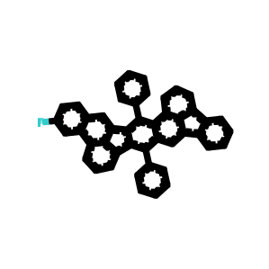 Fc1ccc2cc3c4c(-c5ccccc5)c5c(cc6c7ccccc7c7cccc5c76)c(-c5ccccc5)c4c4cccc(c2c1)c43